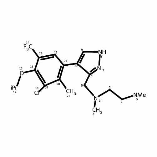 CNCCN(C)Cc1n[nH]cc1-c1cc(C(F)(F)F)c(OC(C)C)c(Cl)c1C